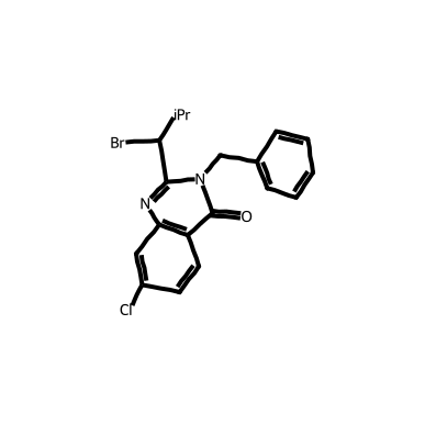 CC(C)C(Br)c1nc2cc(Cl)ccc2c(=O)n1Cc1ccccc1